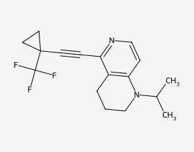 CC(C)N1CCCc2c1ccnc2C#CC1(C(F)(F)F)CC1